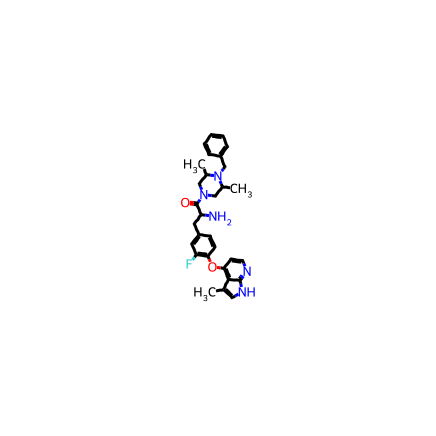 Cc1c[nH]c2nccc(Oc3ccc(CC(N)C(=O)N4CC(C)N(Cc5ccccc5)C(C)C4)cc3F)c12